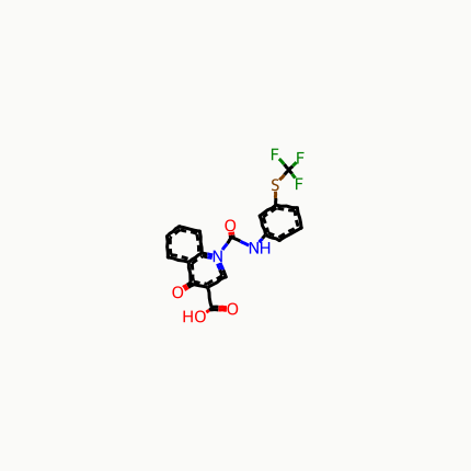 O=C(O)c1cn(C(=O)Nc2cccc(SC(F)(F)F)c2)c2ccccc2c1=O